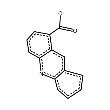 [O]C(=O)c1cccc2nc3ccccc3cc12